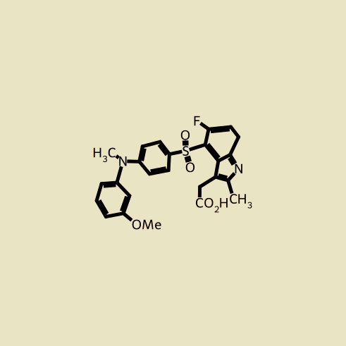 COc1cccc(N(C)c2ccc(S(=O)(=O)C3=C4C(=NC(C)=C4CC(=O)O)CC=C3F)cc2)c1